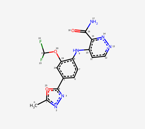 Cc1nnc(-c2ccc(Nc3ccnnc3C(N)=O)c(OC(F)F)c2)o1